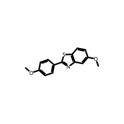 COc1ccc(-c2nc3cc(OC)ccc3s2)cc1